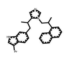 CC(C)c1c[nH]c2cc(CC(C)c3cncn3CC(C)c3cccc4ccccc34)ccc12